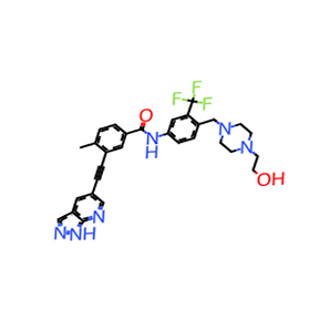 Cc1ccc(C(=O)Nc2ccc(CN3CCN(CCO)CC3)c(C(F)(F)F)c2)cc1C#Cc1cnc2[nH]ncc2c1